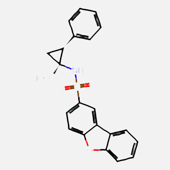 O=C(O)[C@@]1(NS(=O)(=O)c2ccc3oc4ccccc4c3c2)C[C@H]1c1ccccc1